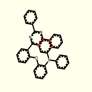 c1ccc(-c2nc(-c3ccccc3)nc(-c3ccccc3Oc3ccccc3N(c3ccccc3)c3ccccc3)n2)cc1